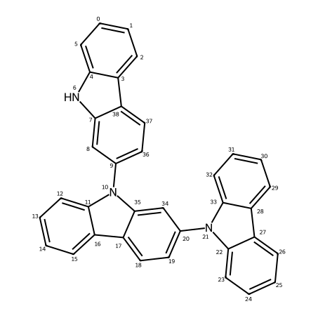 c1ccc2c(c1)[nH]c1cc(-n3c4ccccc4c4ccc(-n5c6ccccc6c6ccccc65)cc43)ccc12